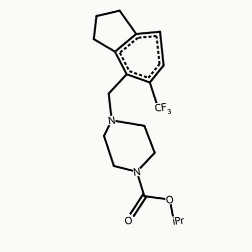 CC(C)OC(=O)N1CCN(Cc2c(C(F)(F)F)ccc3c2CCC3)CC1